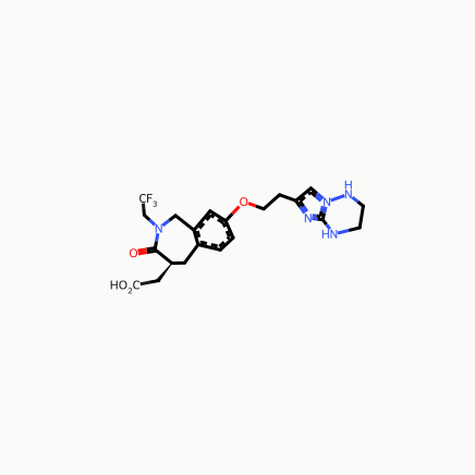 O=C(O)C[C@@H]1Cc2ccc(OCCc3cn4c(n3)NCCN4)cc2CN(CC(F)(F)F)C1=O